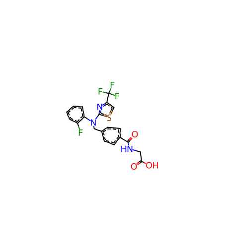 O=C(O)CNC(=O)c1ccc(CN(c2nc(C(F)(F)F)cs2)c2ccccc2F)cc1